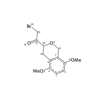 COc1ccc(OC)c2c1COC(C(=O)CBr)C2